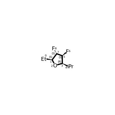 CC[C@@H]1O[C@H](C(C)C)[C@H](F)[C@H]1F